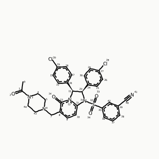 CC(=O)N1CCN(Cc2ccc3n(c2=O)[C@@H](c2ccc(Cl)cc2)[C@@H](c2ccc(Cl)cc2)N3S(=O)(=O)c2cccc(C#N)c2)CC1